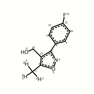 [2H]C([2H])([2H])c1onc(-c2ccc(F)cc2)c1CO